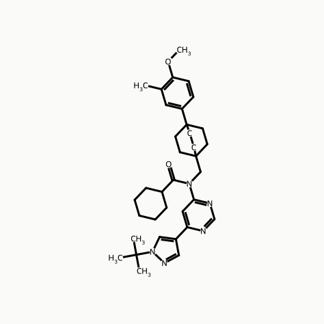 COc1ccc(C23CCC(CN(C(=O)C4CCCCC4)c4cc(-c5cnn(C(C)(C)C)c5)ncn4)(CC2)CC3)cc1C